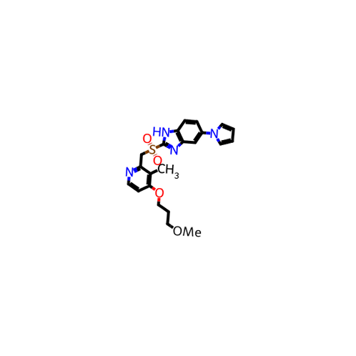 COCCCOc1ccnc(CS(=O)(=O)c2nc3cc(-n4cccc4)ccc3[nH]2)c1C